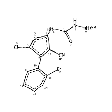 CCCCCCNC(=O)Nc1sc(Cl)c(-c2ccccc2Br)c1C#N